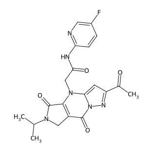 CC(=O)c1cc2n(CC(=O)Nc3ccc(F)cn3)c3c(c(=O)n2n1)CN(C(C)C)C3=O